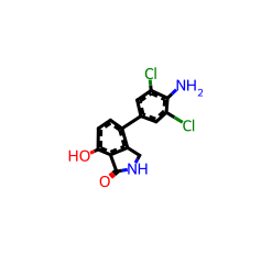 Nc1c(Cl)cc(-c2ccc(O)c3c2CNC3=O)cc1Cl